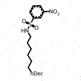 CCCCCCCCCCCCCCCCNS(=O)(=O)c1cc[c]c([N+](=O)[O-])c1